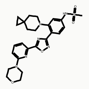 CS(=O)(=O)Nc1ccc(-c2noc(-c3cccc(N4CCOCC4)n3)n2)c(N2CCC3(CC2)CC3)c1